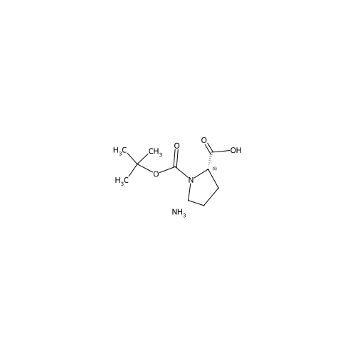 CC(C)(C)OC(=O)N1CCC[C@H]1C(=O)O.N